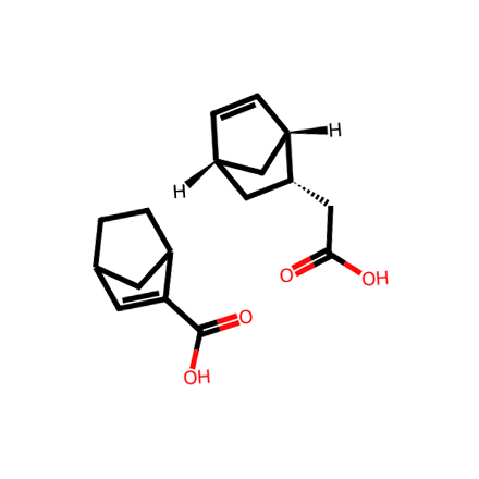 O=C(O)C1=CC2CCC1C2.O=C(O)C[C@@H]1C[C@@H]2C=C[C@H]1C2